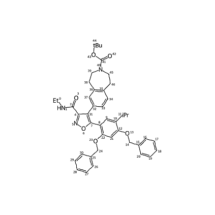 CCNC(=O)c1noc(-c2cc(C(C)C)c(OCc3ccccc3)cc2OCc2ccccc2)c1-c1ccc2c(c1)CCN(C(=O)OC(C)(C)C)CC2